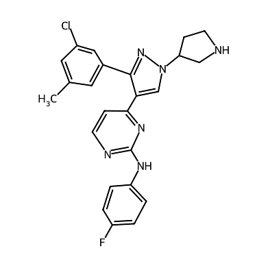 Cc1cc(Cl)cc(-c2nn(C3CCNC3)cc2-c2ccnc(Nc3ccc(F)cc3)n2)c1